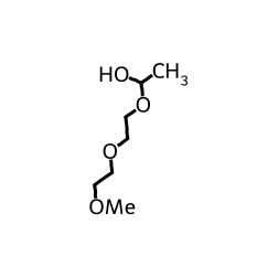 COCCOCCOC(C)O